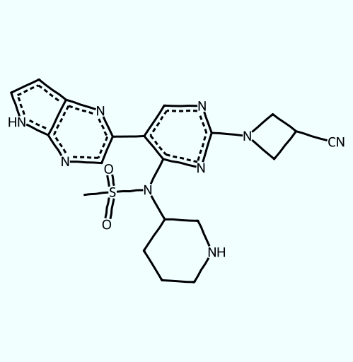 CS(=O)(=O)N(c1nc(N2CC(C#N)C2)ncc1-c1cnc2[nH]ccc2n1)C1CCCNC1